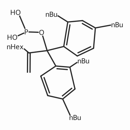 C=C(CCCCCC)C(OP(O)O)(c1ccc(CCCC)cc1CCCC)c1ccc(CCCC)cc1CCCC